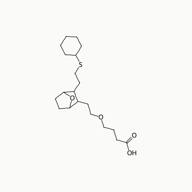 O=C(O)CCCOCCC1C2CCC(O2)C1CCSC1CCCCC1